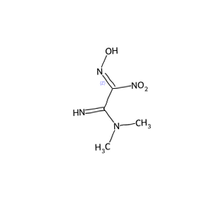 CN(C)C(=N)/C(=N/O)[N+](=O)[O-]